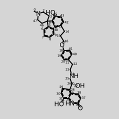 CN1CCC(c2ccccc2)(c2cc(CCCOc3ccc(CCNC[C@H](O)c4ccc(O)c5[nH]c(=O)ccc45)cc3)ccc2O)CC1